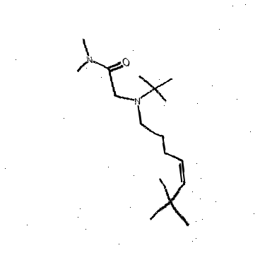 CN(C)C(=O)CN(CCC/C=C\C(C)(C)C)C(C)(C)C